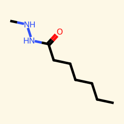 CCCCCCC(=O)NNC